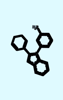 Bc1cccc(-n2c(C3=CCCC=C3)cc3ccccc32)c1